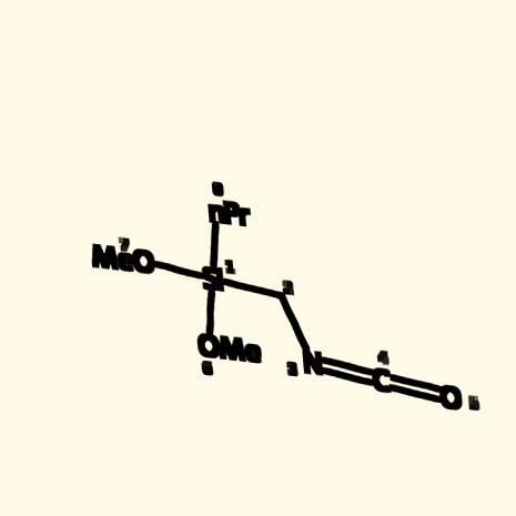 CCC[Si](CN=C=O)(OC)OC